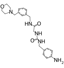 Nc1ccc(CNC(=O)NCC(=O)NCc2cccc(CN3CCOCC3)c2)cc1